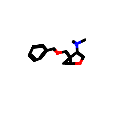 CN(C)C1COC2CC21COCc1ccccc1